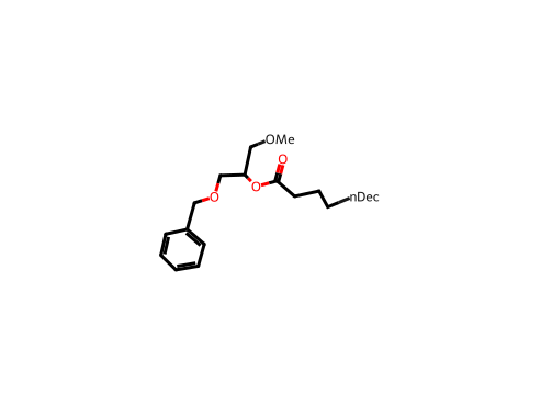 CCCCCCCCCCCCCC(=O)OC(COC)COCc1ccccc1